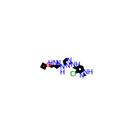 Clc1c(CNc2nccc(Nc3cc(COC4CCC4)[nH]n3)n2)ccc2[nH]cnc12